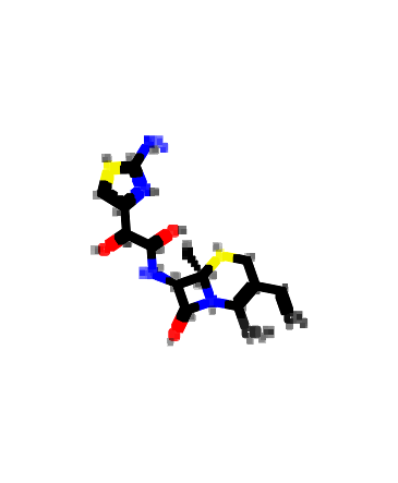 C=CC1=C(C(=O)O)N2C(=O)[C@@H](NC(=O)C(=O)c3csc(N)n3)[C@H]2SC1